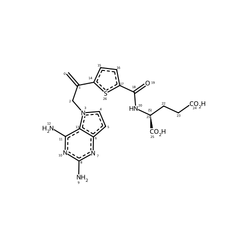 C=C(Cn1ccc2nc(N)nc(N)c21)c1ccc(C(=O)N[C@@H](CCC(=O)O)C(=O)O)s1